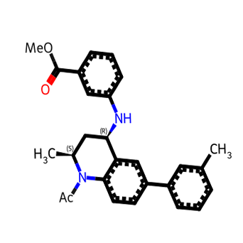 COC(=O)c1cccc(N[C@@H]2C[C@H](C)N(C(C)=O)c3ccc(-c4cccc(C)c4)cc32)c1